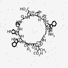 CC(C)CC1NC(=O)[C@H](Cc2c[nH]cn2)NC(=O)[C@H](Cc2c[nH]c3ccccc23)NC(=O)[C@H](C)NC(=O)[C@@H](NC(=O)[C@@H](C)CC(=O)O)CC(=O)NCCC[C@@H](C(N)=O)NC(=O)[C@H](Cc2c[nH]c3ccccc23)NC(=O)[C@H](C(C)C)NC(=O)[C@H](CC(C)C)NC(=O)[C@H](CCC(=O)O)NC(=O)CNC1=O